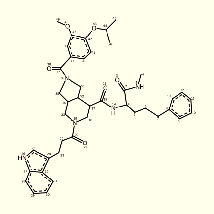 CNC(=O)C(CCCc1ccccc1)NC(=O)C1CN(C(=O)CCc2c[nH]c3ccccc23)CC2CN(C(=O)c3ccc(OC(C)C)c(OC)c3)CC21